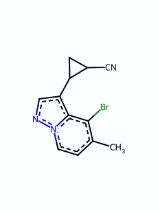 Cc1ccn2ncc(C3CC3C#N)c2c1Br